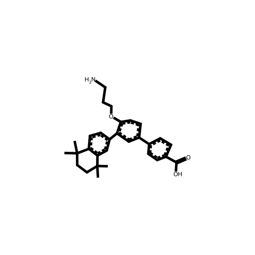 CC1(C)CCC(C)(C)c2cc(-c3cc(-c4ccc(C(=O)O)cc4)ccc3OCCCN)ccc21